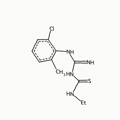 CCNC(=S)NC(=N)Nc1c(C)cccc1Cl